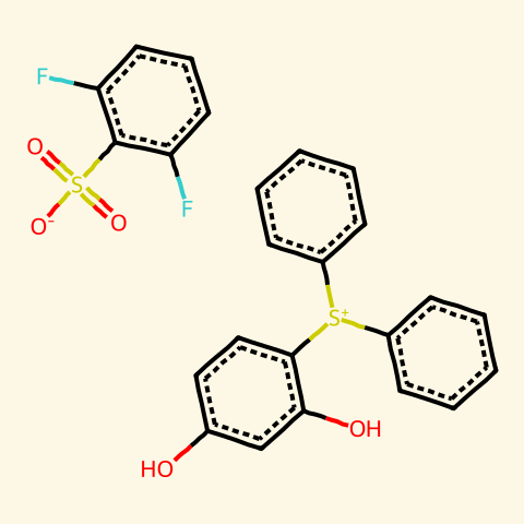 O=S(=O)([O-])c1c(F)cccc1F.Oc1ccc([S+](c2ccccc2)c2ccccc2)c(O)c1